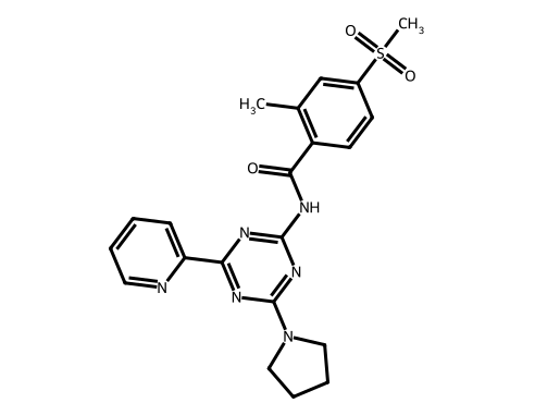 Cc1cc(S(C)(=O)=O)ccc1C(=O)Nc1nc(-c2ccccn2)nc(N2CCCC2)n1